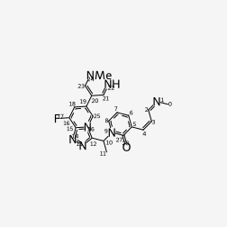 C/N=C\C=C/c1cccn(C(C)c2nnc3c(F)cc(/C(C=N)=C/NC)cn23)c1=O